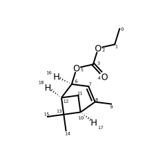 CCOC(=O)O[C@H]1C=C(C)[C@@H]2C[C@H]1C2(C)C